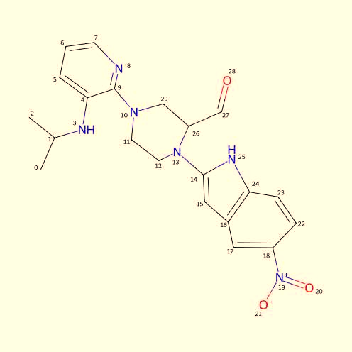 CC(C)Nc1cccnc1N1CCN(c2cc3cc([N+](=O)[O-])ccc3[nH]2)C(C=O)C1